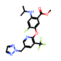 COC(=O)c1cc(Oc2ncc(Cn3nccn3)cc2C(F)(F)F)c(F)cc1NC(C)C